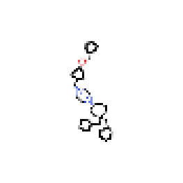 c1ccc(COc2ccc(CN3CCN(C4CCCC(Cc5ccccc5)(Cc5ccccc5)CC4)CC3)cc2)cc1